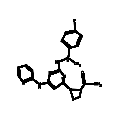 C[C@H](Nc1nc(Nc2cnccn2)cc(N2CCC2C(N)=O)n1)c1ccc(F)cc1